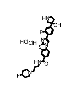 Cl.Cl.O=C(NCCCN1CCC(F)CC1)c1ccc2c(c1)sc1nc(-c3ccc(C4(O)CCNC4)cc3F)cn12